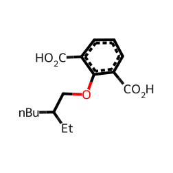 CCCCC(CC)COc1c(C(=O)O)cccc1C(=O)O